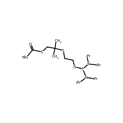 CC(C)N(C(C)C)P(OCCSC(C)(C)CSC(=O)C(C)(C)C)N(C(C)C)C(C)C